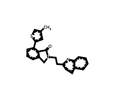 Cc1csc(-c2cccc3c2C(=O)N(CCc2ccc4ccccc4n2)C3)c1